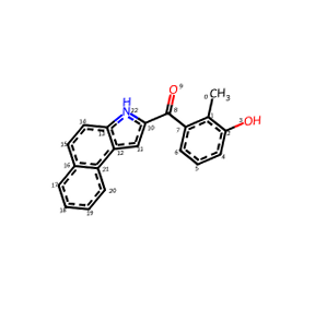 Cc1c(O)cccc1C(=O)c1cc2c(ccc3ccccc32)[nH]1